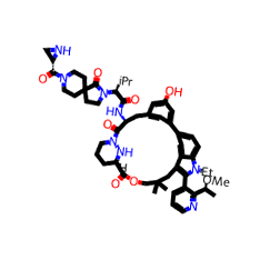 CCn1c(-c2cccnc2[C@H](C)OC)c2c3cc(ccc31)-c1cc(O)cc(c1)C[C@H](NC(=O)[C@H](C(C)C)N1CCC3(CCN(C(=O)[C@@H]4CN4)CC3)C1=O)C(=O)N1CCC[C@H](N1)C(=O)OCC(C)(C)C2